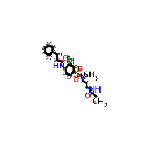 C=CC(=O)NCCCN(C)S(=O)(=O)c1ccc(NC(=O)CCc2ccccc2)c(Cl)c1